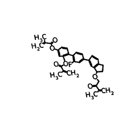 C=C(C)C(=O)COC1CCc2ccc(-c3ccc(-c4ccc(OC(=O)C(=C)C)cc4OC(=O)C(=C)C)c(F)c3)cc21